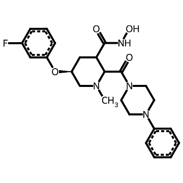 CN1C[C@@H](Oc2cccc(F)c2)CC(C(=O)NO)C1C(=O)N1CCN(c2ccccc2)CC1